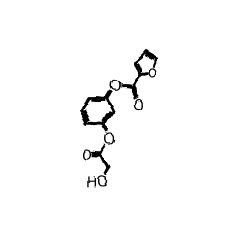 O=C(CO)Oc1cccc(OC(=O)c2ccco2)c1